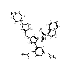 CSc1ccc(OC(F)F)c(-c2nn(Cc3cn(C4CCNCC4)nn3)cc2NC(=O)c2cnn3cccnc23)c1